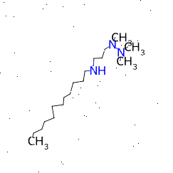 CCCCCCCCCCCCNCCCN(C)N(C)C